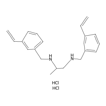 C=Cc1cccc(CNCC(C)NCc2cccc(C=C)c2)c1.Cl.Cl